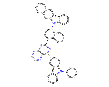 c1ccc(-n2c3ccccc3c3cc(-c4nc(-c5ccc(-n6c7ccccc7c7cc8ccccc8cc76)c6ccccc56)nc5nccnc45)ccc32)cc1